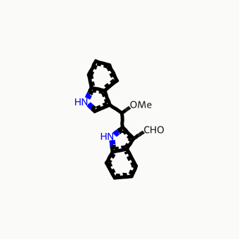 COC(c1[nH]c2ccccc2c1C=O)c1c[nH]c2ccccc12